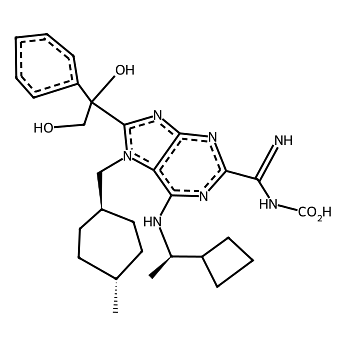 C[C@@H](Nc1nc(C(=N)NC(=O)O)nc2nc(C(O)(CO)c3ccccc3)n(C[C@H]3CC[C@H](C)CC3)c12)C1CCC1